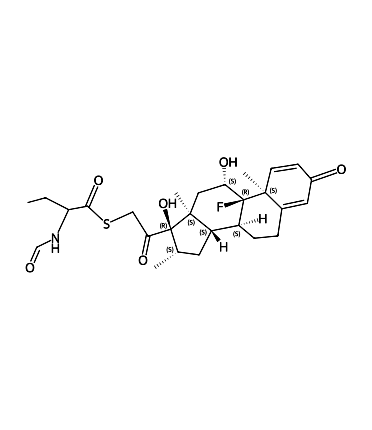 CCC(NC=O)C(=O)SCC(=O)[C@@]1(O)[C@@H](C)C[C@H]2[C@@H]3CCC4=CC(=O)C=C[C@]4(C)[C@@]3(F)[C@@H](O)C[C@@]21C